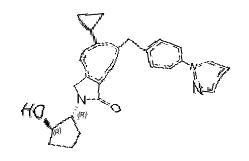 O=C1c2cc(Cc3ccc(-n4cccn4)cc3)c(C3CC3)cc2CN1[C@@H]1CCC[C@H]1O